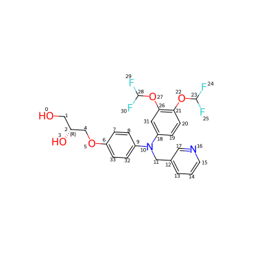 OC[C@@H](O)COc1ccc(N(Cc2cccnc2)c2ccc(OC(F)F)c(OC(F)F)c2)cc1